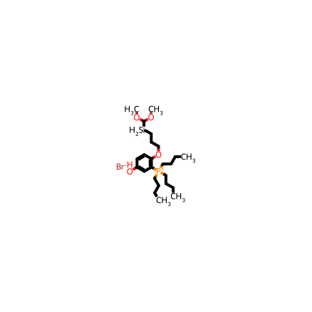 CCCC[P+](CCCC)(CCCC)c1cc(O)ccc1OCCC[SiH2]C(OC)OC.[Br-]